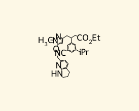 CCOC(=O)CC(Cc1cc(OCCc2ccc3c(n2)NCCC3)n(C)n1)c1cc(C#N)cc(C(C)C)c1